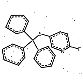 Fc1ccc(SC(c2ccccc2)(c2ccccc2)c2ccccc2)cn1